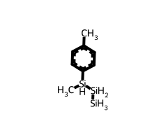 Cc1ccc([SiH](C)[SiH2][SiH3])cc1